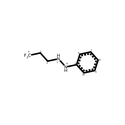 FC(F)(F)CCNNc1ccccc1